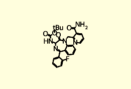 CC(C)(C)OC(=O)NC1N=C(c2ccccc2F)c2ccccc2N(Cc2ncccc2C(N)=O)C1=O